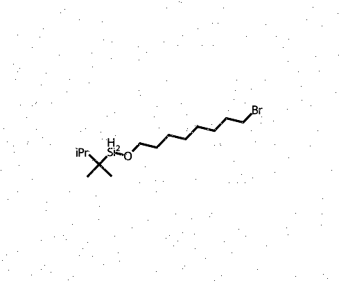 CC(C)C(C)(C)[SiH2]OCCCCCCCCBr